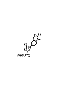 COC(=O)C1CN(c2ccc3c(c2)COC(=O)N3C)C(=O)O1